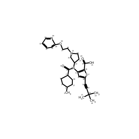 CC1CCC(C(=O)N(c2cc(C#CC(C)(C)C)sc2C(=O)O)C2CCN(CCOc3ccccn3)C2)CC1